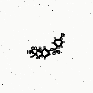 CC1(NC(=O)O)N=c2ccc(OS(=O)(=O)c3ccc(Br)cc3)cc2=N1